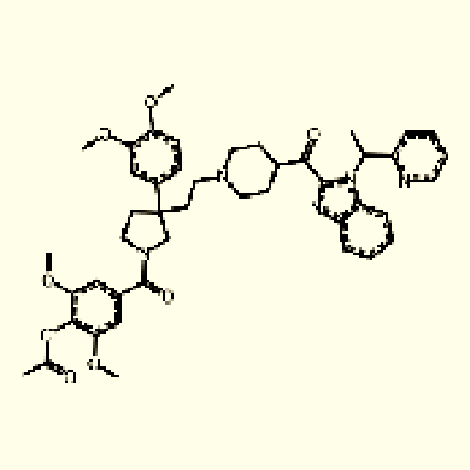 COc1ccc(C2(CCN3CCC(C(=O)c4nc5ccccc5n4C(C)c4ccccn4)CC3)CCN(C(=O)c3cc(OC)c(OC(C)=O)c(OC)c3)C2)cc1OC